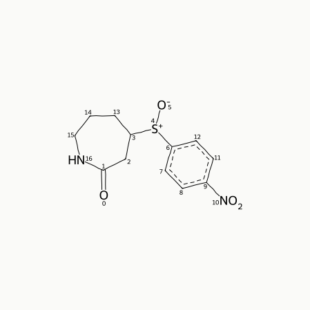 O=C1CC([S+]([O-])c2ccc([N+](=O)[O-])cc2)CCCN1